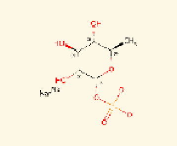 C[C@H]1O[C@H](OP(=O)([O-])[O-])[C@H](O)[C@@H](O)[C@@H]1O.[Na+].[Na+]